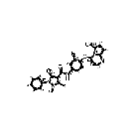 Cc1c(C(=O)Nc2ccc(Oc3ncnc4ccc(Cl)n34)c(F)c2)c(=O)n(-c2ccccc2)n1C